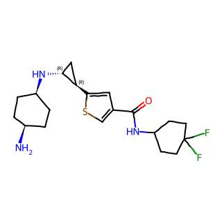 N[C@H]1CC[C@@H](N[C@@H]2C[C@H]2c2cc(C(=O)NC3CCC(F)(F)CC3)cs2)CC1